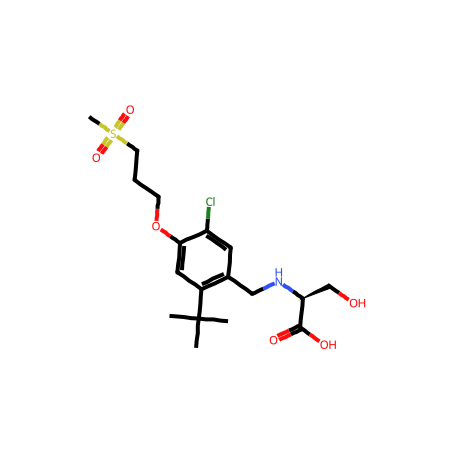 CC(C)(C)c1cc(OCCCS(C)(=O)=O)c(Cl)cc1CN[C@@H](CO)C(=O)O